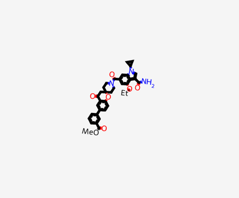 CCOc1cc(C(=O)N2CCC3(CC2)CC(=O)c2cc(-c4cccc(C(=O)OC)c4)ccc2O3)cc2c1c(C(N)=O)cn2C1CC1